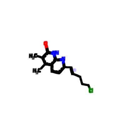 Cc1c(C)c2ccc(/C=C/CCCCl)nc2[nH]c1=O